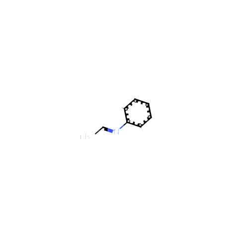 [CH2]CCCC=Nc1ccccc1